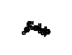 O=C(NC(=O)c1c(F)cccc1F)Nc1ccc(OC/C(=N\O)c2ccc(Cl)cc2)cc1